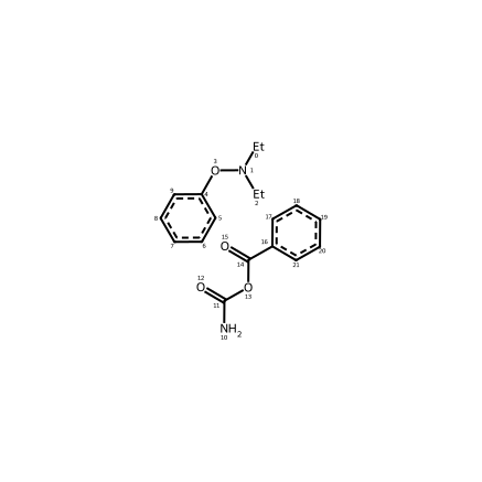 CCN(CC)Oc1ccccc1.NC(=O)OC(=O)c1ccccc1